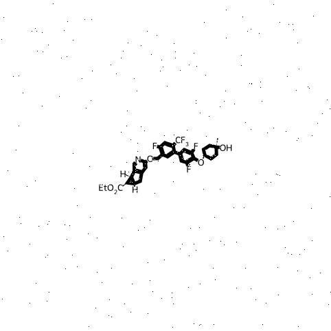 CCOC(=O)[C@H]1[C@@H]2Cc3cc(OCc4cc(-c5cc(F)c(O[C@H]6CC[C@](C)(O)CC6)c(F)c5)c(C(F)(F)F)cc4F)ncc3[C@@H]21